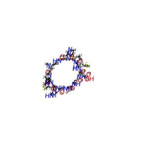 CC[C@@H]1NC(=O)[C@H](Cc2c[nH]cn2)NC(=O)[C@H](Cc2cscn2)NC(=O)[C@H]2CCCN2C(=O)C(/C=N/C)CCCNC(=O)[C@H](Cc2cccnc2)NC(=O)[C@H](CC2CC2)NC(=O)[C@H](CCSC)NC(=O)[C@H](CCC(=O)O)NC(=O)CNC1=O